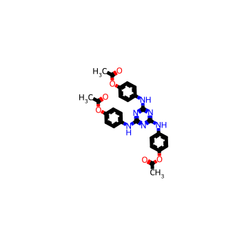 CC(=O)Oc1ccc(Nc2nc(Nc3ccc(OC(C)=O)cc3)nc(Nc3ccc(OC(C)=O)cc3)n2)cc1